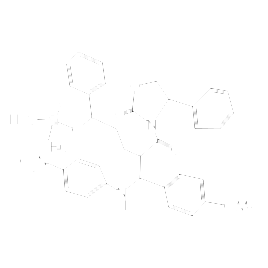 COc1ccc(C(Nc2ccc([N+](=O)[O-])cc2)C(CCC(O[Si](C)(C)C(C)(C)C)c2ccccc2)C(=O)N2C(=O)OCC2c2ccccc2)cc1